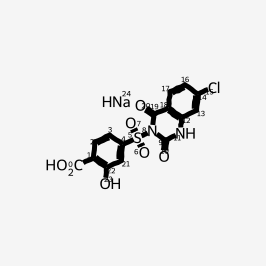 O=C(O)c1ccc(S(=O)(=O)n2c(=O)[nH]c3cc(Cl)ccc3c2=O)cc1O.[NaH]